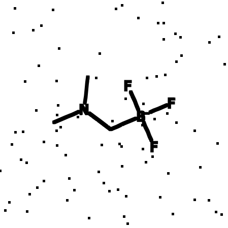 CN(C)C[B-](F)(F)F